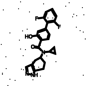 O=C(c1ccc(-c2c(F)cccc2F)cc1O)N(C1CC1)C1CCc2[nH]ncc2C1